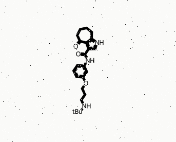 CC(C)(C)NCCCOc1cccc(NC(=O)c2c[nH]c3c2C(=O)CCCC3)c1